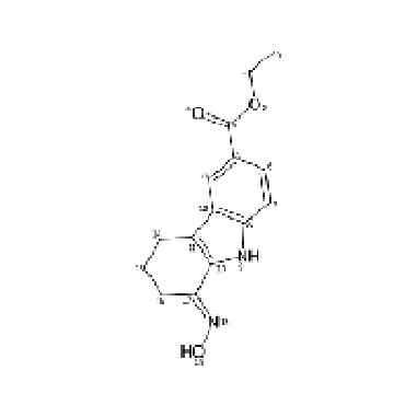 CCOC(=O)c1ccc2[nH]c3c(c2c1)CCCC3=NO